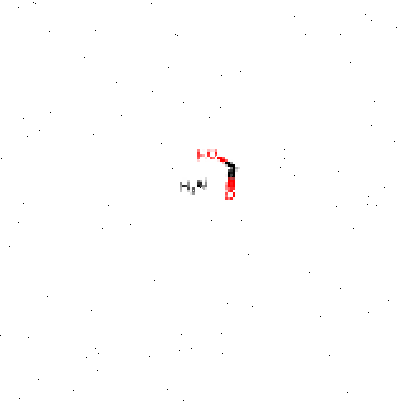 O=[C]O.[AlH3]